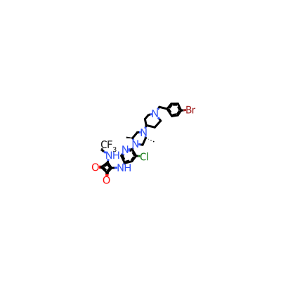 C[C@@H]1CN(c2ncc(Nc3c(NCC(F)(F)F)c(=O)c3=O)cc2Cl)[C@@H](C)CN1C1CCN(Cc2ccc(Br)cc2)CC1